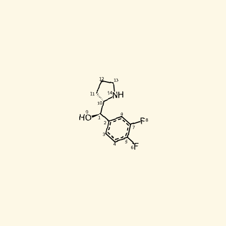 O[C@H](c1ccc(F)c(F)c1)[C@@H]1CCCN1